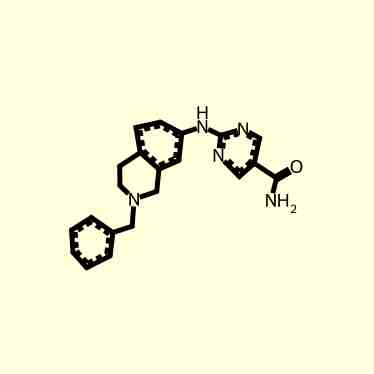 NC(=O)c1cnc(Nc2ccc3c(c2)CN(Cc2ccccc2)CC3)nc1